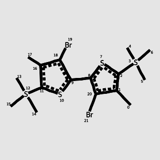 Cc1c(S(C)(C)C)sc(-c2sc(S(C)(C)C)c(C)c2Br)c1Br